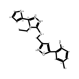 CCn1c(SCc2cc(-c3cc(C)ccc3F)on2)nnc1-c1cccs1